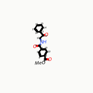 COC(=O)c1ccc(C(=O)NCC(=O)c2ccccc2)cc1